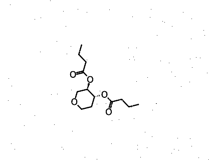 CCCC(=O)O[C@@H]1CCOC[C@H]1OC(=O)CCC